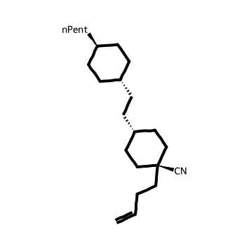 C=CCC[C@]1(C#N)CC[C@H](CC[C@H]2CC[C@H](CCCCC)CC2)CC1